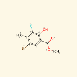 COC(=O)c1cc(Br)c(C)c(F)c1O